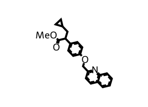 COC(=O)C(CC1CC1)c1ccc(OCc2ccc3ccccc3n2)cc1